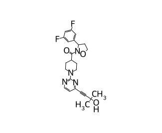 CC(C)(O)C#Cc1ccnc(N2CCC(C(=O)N3OCCC3c3cc(F)cc(F)c3)CC2)n1